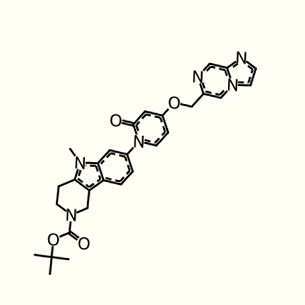 Cn1c2c(c3ccc(-n4ccc(OCc5cn6ccnc6cn5)cc4=O)cc31)CN(C(=O)OC(C)(C)C)CC2